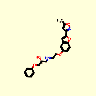 Cc1cc(-c2cc3cc(OCCNC[C@H](O)COc4ccccc4)ccc3o2)no1